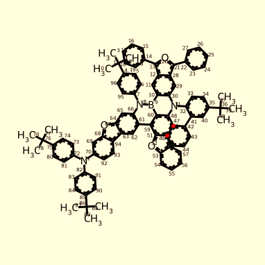 CC(C)(C)c1ccc(N2B3c4cc5c(-c6ccccc6)oc(-c6ccccc6)c5cc4N(c4ccc(C(C)(C)C)cc4-c4ccccc4)c4cc5c(oc6ccccc65)c(c43)-c3cc4c(cc32)oc2cc(N(c3ccc(C(C)(C)C)cc3)c3ccc(C(C)(C)C)cc3)ccc24)cc1